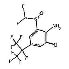 Nc1c(Cl)cc(C(F)(C(F)(F)F)C(F)(F)F)cc1[S+]([O-])C(F)F